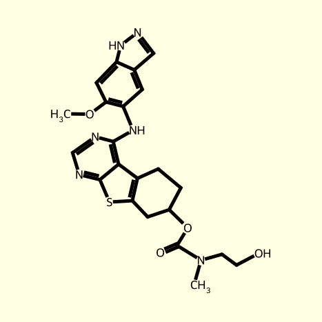 COc1cc2[nH]ncc2cc1Nc1ncnc2sc3c(c12)CCC(OC(=O)N(C)CCO)C3